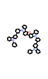 c1ccc(-n2c3ccccc3c3cc(-c4cccc(-n5c6ccccc6c6c7oc8c(ccc9c8c8ccccc8n9-c8cccc(-c9ccc%10c(c9)c9ccccc9n%10-c9ccccc9)c8)c7ccc65)c4)ccc32)cc1